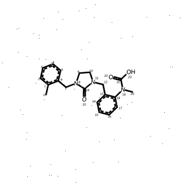 Cc1ccccc1CN1CCN(Cc2ccccc2N(C)C(=O)O)C1=O